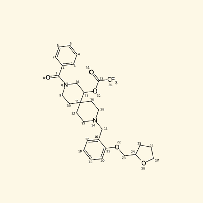 O=C(c1ccccc1)N1CCC2(CCN(Cc3ccccc3OCC3CCCO3)CC2)C(OC(=O)C(F)(F)F)C1